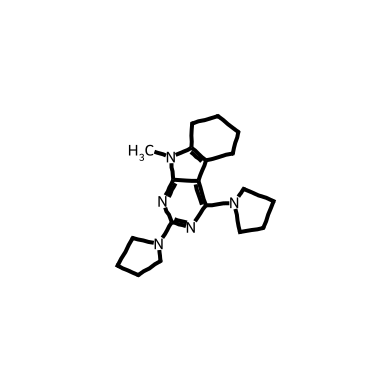 Cn1c2c(c3c(N4CCCC4)nc(N4CCCC4)nc31)CCCC2